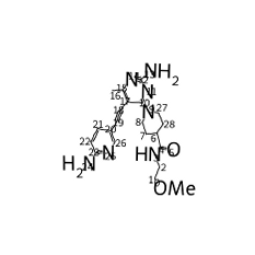 COCCNC(=O)C1CCN(c2nc(N)nc(C)c2C#Cc2ccc(N)nc2)CC1